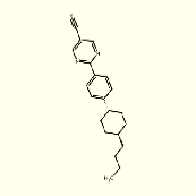 CCCC[C@H]1CC[C@H](c2ccc(-c3ncc(C#N)cn3)cc2)CC1